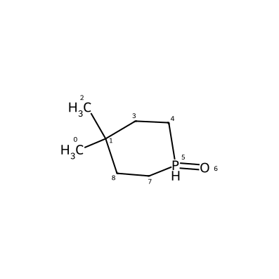 CC1(C)CC[PH](=O)CC1